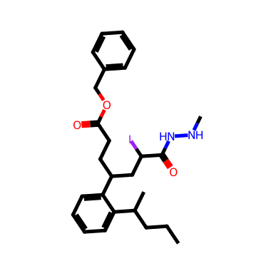 CCCC(C)c1ccccc1C(CCC(=O)OCc1ccccc1)CC(I)C(=O)NNC